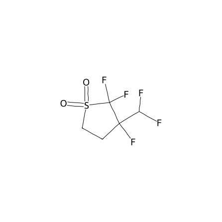 O=S1(=O)CCC(F)(C(F)F)C1(F)F